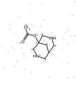 O=C(OC12CNCC(CNC1)C2)C(F)(F)F